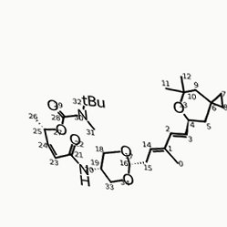 CC(/C=C/[C@@H]1CC2(CC2)CC(C)(C)O1)=C\C[C@H]1OC[C@@H](NC(=O)/C=C\[C@H](C)OC(=O)N(C)C(C)(C)C)CO1